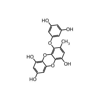 Cc1cc(O)c2c(c1Oc1cc(O)cc(O)c1)Oc1c(O)cc(O)cc1O2